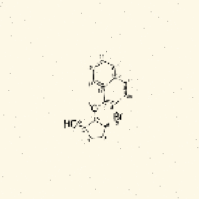 OC1CCCC1Oc1c(Br)ccc2ccccc12